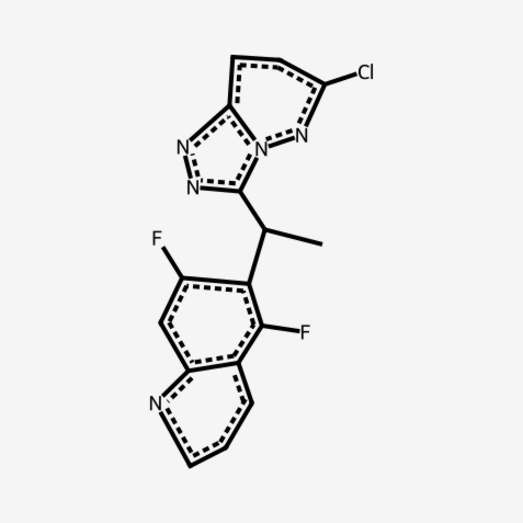 CC(c1c(F)cc2ncccc2c1F)c1nnc2ccc(Cl)nn12